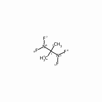 CC(C)(N(F)F)N(F)F